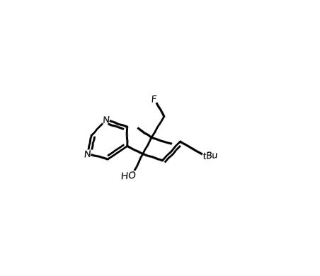 CC(C)(C)C=CC(O)(c1cncnc1)C(C)(C)CF